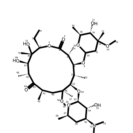 CC[C@H]1OC(=O)[C@H](C)[C@@H](OC2C[C@@](C)(OC)[C@@H](O)[C@H](C)O2)[C@H](C)[C@@H](O[C@@H]2O[C@H](C)C[C@H](N(C)C)[C@H]2O)[C@@](C)(OC)C[C@@H](C)C(=O)[C@H](C)[C@@H](O)[C@]1(C)O